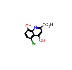 O=C(O)c1cc(O)c2c(Br)ccc(O)c2n1